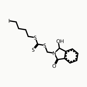 O=C1c2ccccc2C(O)N1CSC(=S)SCCCCI